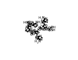 CO[C@@H]1C(OP(=O)(O)OC[C@H]2O[C@@H](n3cnc4c(N)ncnc43)C(OP(=O)(O)OC[C@]34CCCO[C@@H]3C(OP(=O)(O)S)[C@H](n3cnc5c(N)ncnc53)O4)[C@H]2O)[C@H](n2cnc3c(N)ncnc32)O[C@@H]1COP(=O)(O)S